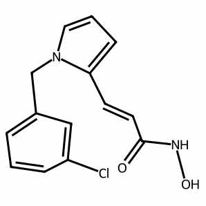 O=C(C=Cc1cccn1Cc1cccc(Cl)c1)NO